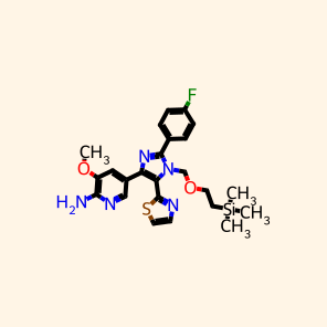 COc1cc(-c2nc(-c3ccc(F)cc3)n(COCC[Si](C)(C)C)c2-c2nccs2)cnc1N